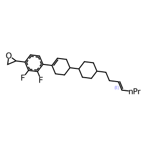 CCC/C=C/CCC1CCC(C2CC=C(c3ccc(C4CO4)c(F)c3F)CC2)CC1